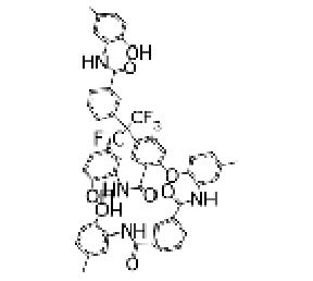 Cc1ccc(O)c(NC(=O)c2cccc(C(=O)Nc3cc(C)ccc3Oc3ccc(C(c4cccc(C(=O)Nc5cc(C)ccc5O)c4)(C(F)(F)F)C(F)(F)F)cc3C(=O)Nc3cc(C)ccc3O)c2)c1